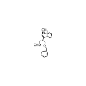 Cn1cc([C@@H](CC=O)COCc2ccccc2)c2ccccc21